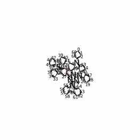 c1ccc(-n2c3ccccc3c3c2ccc2c4ccccc4n(-c4nc(-c5ccc([Si](c6ccccc6)(c6ccccc6)c6ccccc6)cc5)nc(-n5c6ccccc6c6ccccc65)n4)c23)cc1